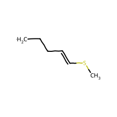 [CH2]CCC=CSC